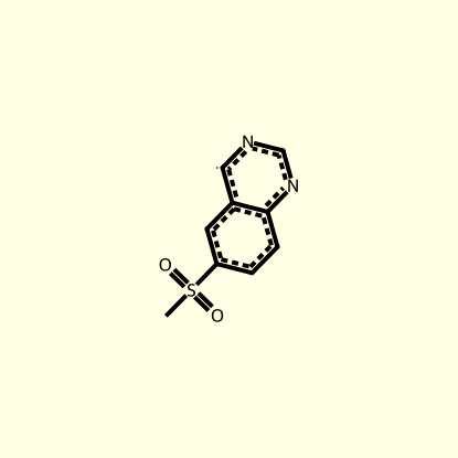 CS(=O)(=O)c1ccc2ncn[c]c2c1